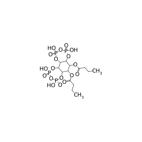 CCCC(=O)OC1C(OC(=O)CCC)C2OP(=O)(O)OP(=O)(O)OC2C2OP(=O)(O)OP(=O)(O)OC12